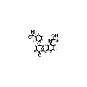 NC(=O)c1cccc(-c2ccc(=O)n(Cc3cccc(NC(=O)O)c3)n2)c1